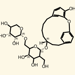 OCC1C(O)[C@@H](O)C(CO[C@H]2OCC(O)[C@@H](O)[C@H]2O)O[C@@H]1O[C@@H]1CCCCc2ccc(O)c(c2)Oc2ccc(cc2)CC1